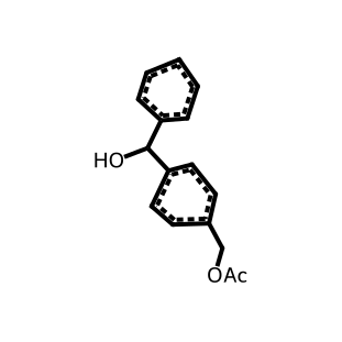 CC(=O)OCc1ccc(C(O)c2ccccc2)cc1